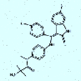 CN(C(=O)C(C)(C)N)c1ccc(N/C(=C2\C(=O)Nc3cc(Cl)ccc32)c2ccc(Cl)cc2)cc1